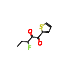 CCC(F)C(=O)C(=O)c1cccs1